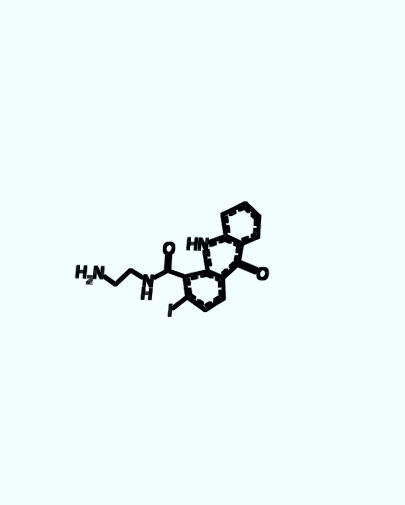 NCCNC(=O)c1c(I)ccc2c(=O)c3ccccc3[nH]c12